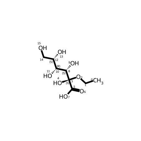 CCO[C@](O)(C(=O)O)[C@@H](O)[C@H](O)[C@@H](O)CO